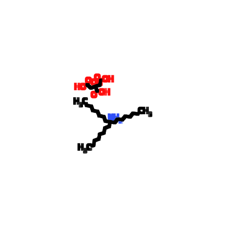 CCCCCCCCC(N)(CCCCCCCC)CCCCCCCC.O=C(O)CC(O)(CC(=O)O)C(=O)O